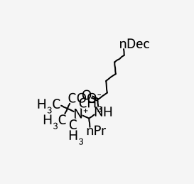 CCCCCCCCCCCCCCCC(=O)NC(CCC)[N+](C)(C)C(C)(C)C(=O)[O-]